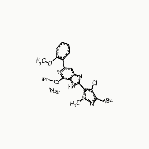 CC(C)Oc1nc(-c2ccccc2OC(F)(F)F)cc2nc(-c3c(Cl)c(C(C)(C)C)nn3C)[nH]c12.[Na]